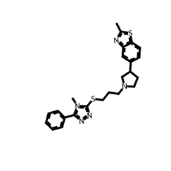 Cc1nc2cc(C3CCN(CCCSc4nnc(-c5ccccc5)n4C)C3)ccc2s1